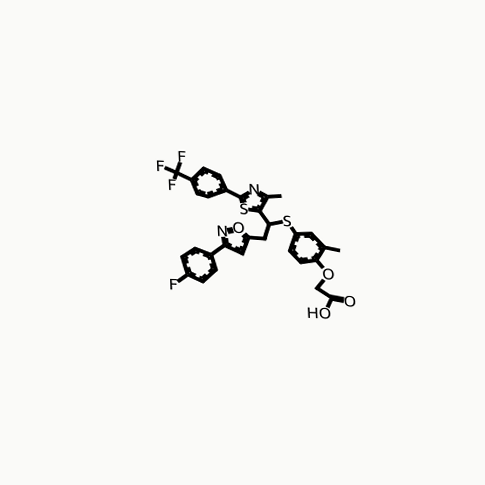 Cc1cc(SC(Cc2cc(-c3ccc(F)cc3)no2)c2sc(-c3ccc(C(F)(F)F)cc3)nc2C)ccc1OCC(=O)O